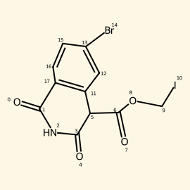 O=C1NC(=O)C(C(=O)OCI)c2cc(Br)ccc21